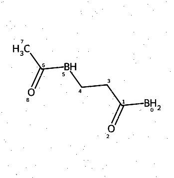 BC(=O)CCBC(C)=O